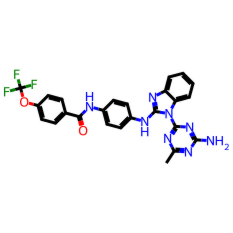 Cc1nc(N)nc(-n2c(Nc3ccc(NC(=O)c4ccc(OC(F)(F)F)cc4)cc3)nc3ccccc32)n1